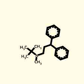 CN(CCC(c1ccccc1)c1ccccc1)C(C)(C)C